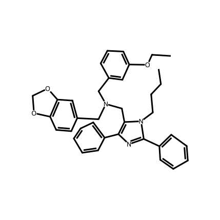 CCCCn1c(-c2ccccc2)nc(-c2ccccc2)c1CN(Cc1cccc(OCC)c1)Cc1ccc2c(c1)OCO2